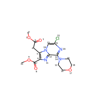 COC(=O)Cc1c(C(=O)OC)nc2c(N3CCOCC3)nc(Cl)cn12